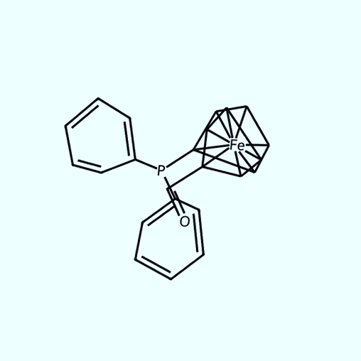 O=C[C]12[CH]3[CH]4[CH]5[CH]1[Fe]45321678[CH]2[CH]1[CH]6[C]7(P(c1ccccc1)c1ccccc1)[CH]28